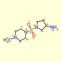 CN1CCN(S(=O)(=O)N2CCC(N)C2)CC1